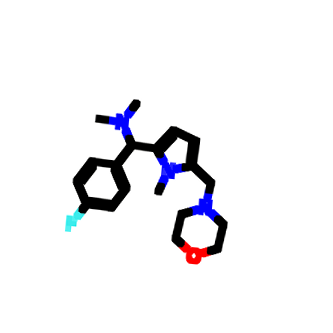 CN(C)C(c1ccc(F)cc1)c1ccc(CN2CCOCC2)n1C